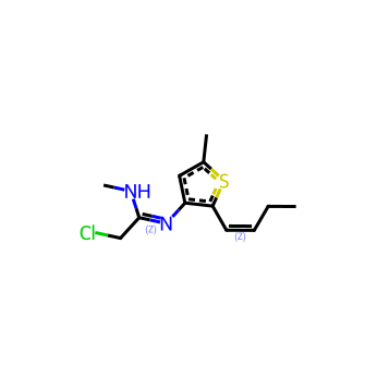 CC/C=C\c1sc(C)cc1/N=C(/CCl)NC